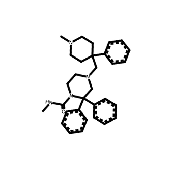 CNC(=O)N1CCN(CC2(c3ccccc3)CCN(C)CC2)CC1(c1ccccc1)c1ccccc1